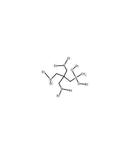 CCO[Si](C)(CC(CN(CC)CC)(CN(CC)CC)CN(CC)CC)OCC